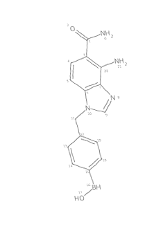 NC(=O)c1ccc2c(ncn2Cc2ccc(BO)cc2)c1N